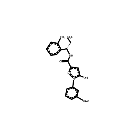 COc1cccc(-n2nc(C(=O)N[C@@H](CC(=O)O)c3ccccc3C)cc2O)c1